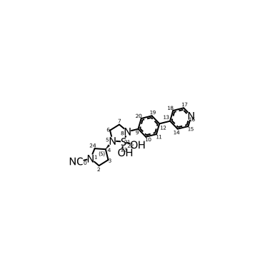 N#CN1CC[C@H](N2CCN(c3ccc(-c4ccncc4)cc3)S2(O)O)C1